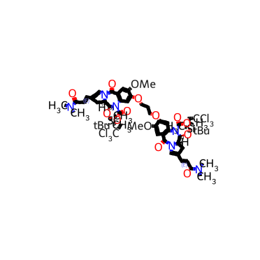 COc1cc2c(cc1OCCCOc1cc3c(cc1OC)C(=O)N1C=C(/C=C/C(=O)N(C)C)C[C@H]1[C@H](O[Si](C)(C)C(C)(C)C)N3C(=O)OCC(Cl)(Cl)Cl)N(C(=O)OCC(Cl)(Cl)Cl)[C@@H](O[Si](C)(C)C(C)(C)C)[C@@H]1CC(/C=C/C(=O)N(C)C)=CN1C2=O